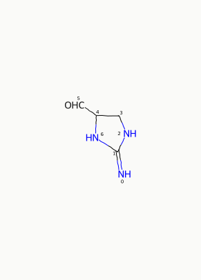 N=C1NCC(C=O)N1